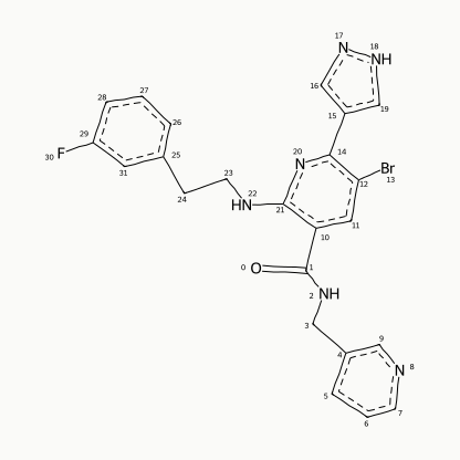 O=C(NCc1cccnc1)c1cc(Br)c(-c2cn[nH]c2)nc1NCCc1cccc(F)c1